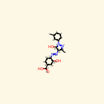 Cc1cccc(-n2nc(C)c(/N=N/c3ccc(C(=O)O)cc3O)c2O)c1